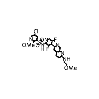 COCCNc1ccc2cc(-c3c(F)cnc(NS(=O)(=O)c4cc(Cl)cnc4OC)c3F)ncc2n1